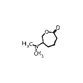 CN(C)C1CCCC(=O)OC1